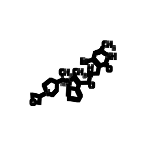 CCc1cc(C)[nH]c(=O)c1CNC(=O)c1c(C)n([C@@H](C)C2CCN(C3COC3)CC2)c2ccccc12